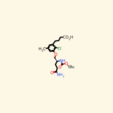 Cc1cc(CCCC(=O)O)c(Cl)c(OC[C@H](CCC(N)=O)NC(=O)OC(C)(C)C)c1